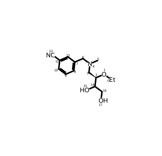 CCO[C@H](CN(C)Cc1cccc(C#N)c1)C(O)CO